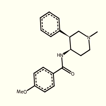 COc1ccc(C(=O)N[C@@H]2CCN(C)C[C@@H]2c2ccccc2)cc1